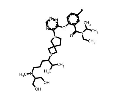 CCN(C(=O)c1cc(F)ccc1Oc1nncnc1N1CCC2(C1)CN(C(CCCN(C)C(CO)CO)C(C)C)C2)C(C)C